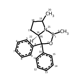 CB1OC(c2ccccc2)(c2ccccc2)[C@H]2CCC(C)N12